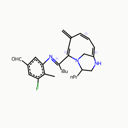 C=C1/C=C\C=C2/CN(C(/C(=N/c3cc(C=O)cc(F)c3C)C(C)CC)=C\1)C(CCC)CN2